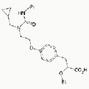 CCOC(Cc1ccc(OCCN(CC2CC2)C(=O)NC(C)C)cc1)C(=O)O